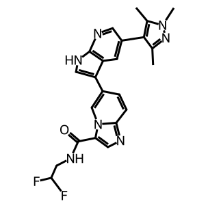 Cc1nn(C)c(C)c1-c1cnc2[nH]cc(-c3ccc4ncc(C(=O)NCC(F)F)n4c3)c2c1